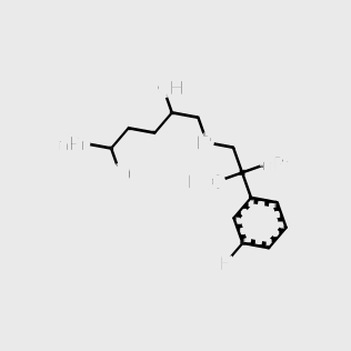 CCCC(CC)CCC(C)CPCC(C)(CCC)c1cccc(F)c1